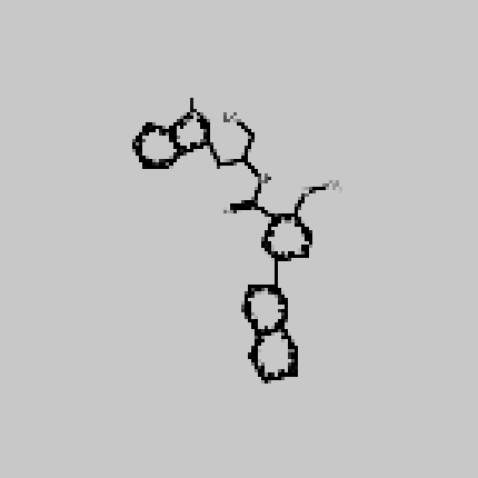 N#CCC(Cc1c[nH]c2ccccc12)NC(=O)c1cc(-c2ccc3ccccc3c2)ccc1OC(F)(F)F